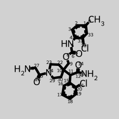 Cc1ccc(NC(=O)OCC2(C(C(N)=O)c3ccccc3Cl)CCN(C(=O)CN)CC2)c(Cl)c1